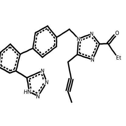 CC#CCc1nc(C(=O)CC)nn1Cc1ccc(-c2ccccc2-c2nnn[nH]2)cc1